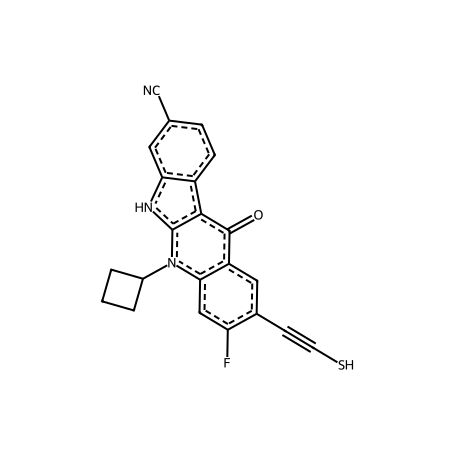 N#Cc1ccc2c(c1)[nH]c1c2c(=O)c2cc(C#CS)c(F)cc2n1C1CCC1